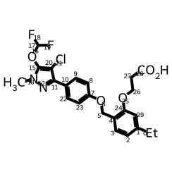 CCc1ccc(COc2ccc(-c3nn(C)c(OC(F)F)c3Cl)cc2)c(OCCC(=O)O)c1